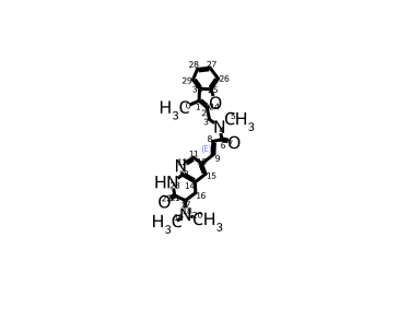 Cc1c(CN(C)C(=O)/C=C/c2cnc3c(c2)CC(N(C)C)C(=O)N3)oc2ccccc12